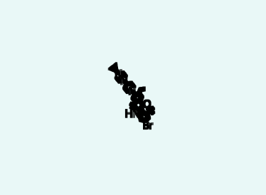 CCc1cc2c(cc1N1CCC(N3CCN(C4CC4)CC3)CC1)C(C)(C)c1[nH]c3cc(Br)cc(C(C)(C)C)c3c1C2=O